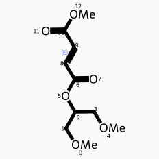 COCC(COC)OC(=O)/C=C/C(=O)OC